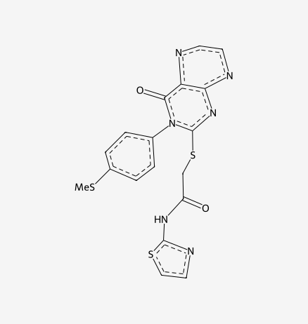 CSc1ccc(-n2c(SCC(=O)Nc3nccs3)nc3nccnc3c2=O)cc1